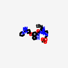 CC(C)(C)c1cc(NC(=O)N[C@H]2CC[C@@H](Oc3ccc4nnc(N5CCCCC5)n4c3)c3ccccc32)n(-c2ccn(CCOS(C)(=O)=O)n2)n1